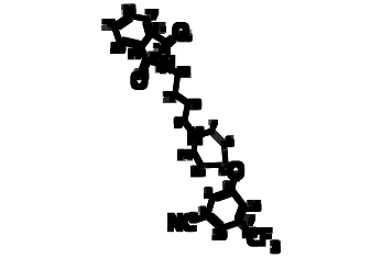 N#Cc1cc(OC2CCN(CCCCN3C(=O)c4ccccc4C3=O)CC2)cc(C(F)(F)F)c1